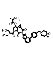 CC(C)C[C@H](CO)C(=O)N1C[C@@H](OC(=O)[C@@H](C)N)C[C@H]1C(=S)N(C(=O)C1CC1)c1nc2cccc(-c3ccc(CN4CCS(=O)(=O)CC4)cc3)n2n1